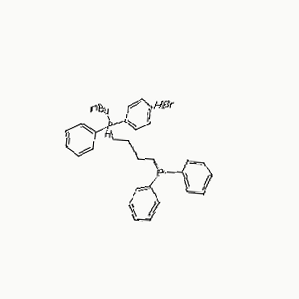 Br.CCCC[PH](CCCCP(c1ccccc1)c1ccccc1)(c1ccccc1)c1ccccc1